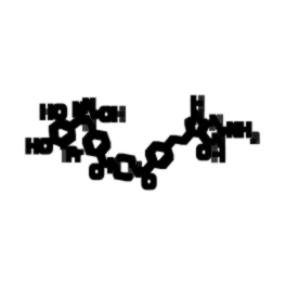 CC(C)c1cc(-c2nnc(O)n2-c2ccc(C(=O)N3CCN(C(=O)c4ccc(CCc5c[nH]c6nc(N)[nH]c(=O)c56)cc4)CC3)cc2)c(O)cc1O